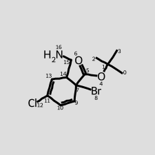 CC(C)(C)OC(=O)C1(Br)C=CC(Cl)=CC1CN